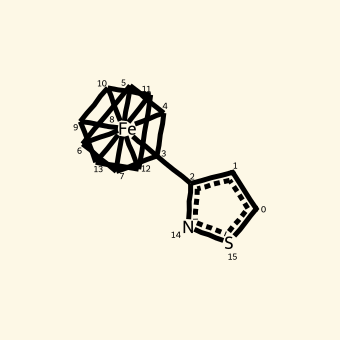 c1cc([C]23[CH]4[CH]5[CH]6[CH]2[Fe]56432789[CH]3[CH]2[CH]7[CH]8[CH]39)ns1